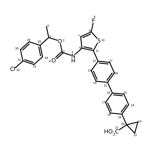 CC(OC(=O)Nc1cc(F)sc1-c1ccc(-c2ccc(C3(C(=O)O)CC3)cc2)cc1)c1ccc(Cl)cc1